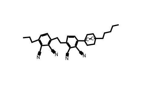 CCCCCC12CCC(c3ccc(CCc4ccc(CCC)c(C#N)c4C#N)c(C#N)c3C#N)(CC1)CC2